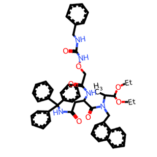 CCOC(OCC)C(C)N(Cc1cccc2ccccc12)C(=O)C(CC(=O)NC(c1ccccc1)(c1ccccc1)c1ccccc1)NC(=O)CONC(=O)NCc1ccccc1